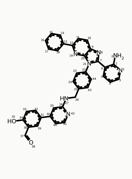 Nc1ncccc1-c1nc2ccc(-c3ccccc3)nc2n1-c1ccc(CNc2cc(-c3ccc(O)c(C=O)c3)ccn2)cc1